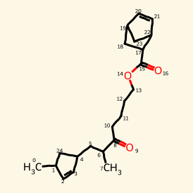 CC1C=CC(CC(C)C(=O)CCCCOC(=O)C2CC3C=CC2C3)C1